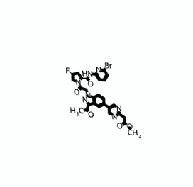 COC(=O)Cc1ncc(-c2ccc3c(c2)c(C(C)=O)nn3CC(=O)N2C[C@H](F)C[C@H]2C(=O)Nc2cccc(Br)n2)cn1